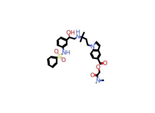 CN(C)C(=O)COC(=O)c1ccc2c(ccn2CCC(C)(C)NC[C@H](O)c2cccc(NS(=O)(=O)c3ccccc3)c2)c1